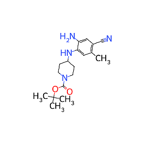 Cc1cc(NC2CCN(C(=O)OC(C)(C)C)CC2)c(N)cc1C#N